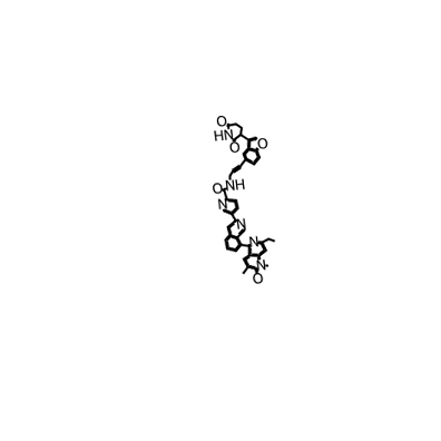 CCc1cc2c(cc(C)c(=O)n2C)c(-c2cccc3cc(-c4ccc(C(=O)NCC#Cc5ccc6occ(C7CCC(=O)NC7=O)c6c5)nc4)ncc23)n1